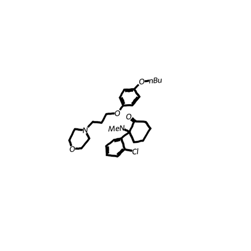 CCCCOc1ccc(OCCCN2CCOCC2)cc1.CNC1(c2ccccc2Cl)CCCCC1=O